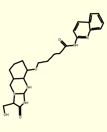 O=C(CCCCOC1CCCC2CN3C(NC(=O)C3CO)NC21)Nc1ccc2ccccc2n1